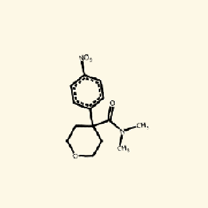 CN(C)C(=O)C1(c2ccc([N+](=O)[O-])cc2)CCOCC1